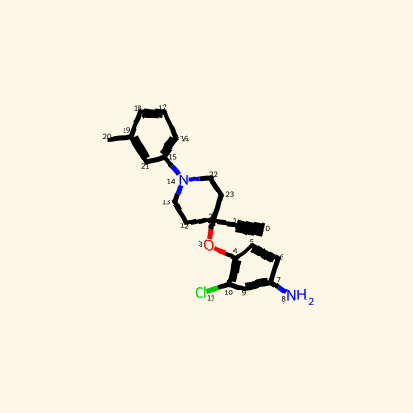 C#CC1(Oc2ccc(N)cc2Cl)CCN(c2cccc(C)c2)CC1